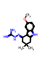 CC1(C)CC(=NNC(=N)N)c2c([nH]c3ccc(OC(F)(F)F)cc23)C1